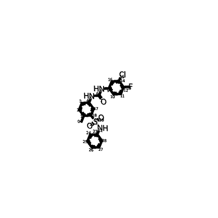 Cc1ccc(NC(=O)Nc2ccc(F)c(Cl)c2)cc1S(=O)(=O)Nc1ccccc1